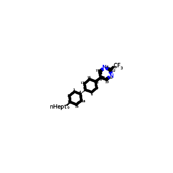 CCCCCCC[C@H]1CC[C@H](C2CCC(c3cnc(C(F)(F)F)nc3)CC2)CC1